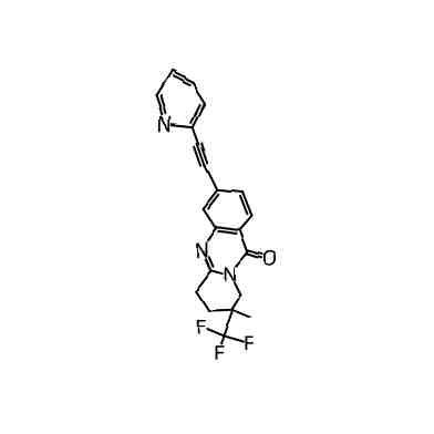 CC1(C(F)(F)F)CCc2nc3cc(C#Cc4ccccn4)ccc3c(=O)n2C1